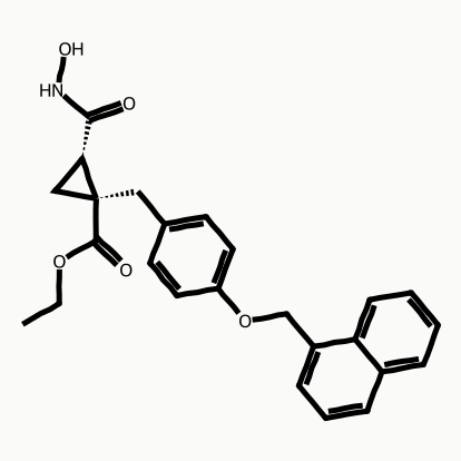 CCOC(=O)[C@@]1(Cc2ccc(OCc3cccc4ccccc34)cc2)C[C@@H]1C(=O)NO